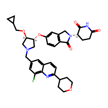 O=C1CC[C@H](N2Cc3cc(O[C@@H]4CN(Cc5cc(F)c6nc(C7CCOCC7)ccc6c5)C[C@H]4OCC4CC4)ccc3C2=O)C(=O)N1